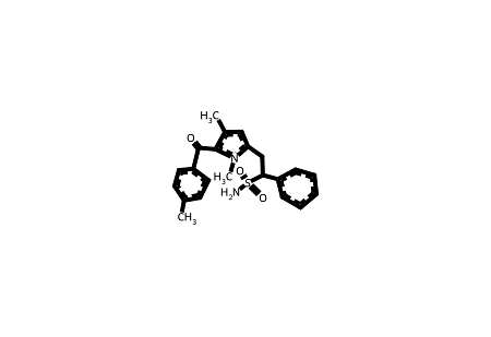 Cc1ccc(C(=O)c2c(C)cc(CC(c3ccccc3)S(N)(=O)=O)n2C)cc1